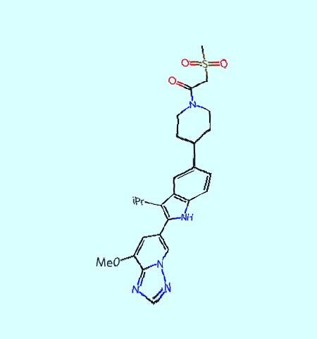 COc1cc(-c2[nH]c3ccc(C4CCN(C(=O)CS(C)(=O)=O)CC4)cc3c2C(C)C)cn2ncnc12